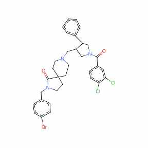 O=C(c1ccc(Cl)c(Cl)c1)N1CC(CN2CCC3(CC2)CCN(Cc2ccc(Br)cc2)C3=O)C(c2ccccc2)C1